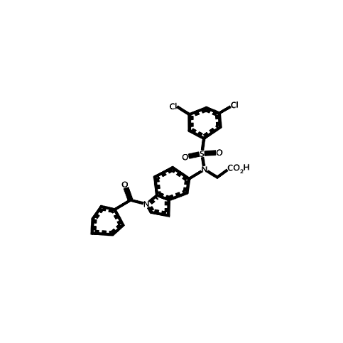 O=C(O)CN(c1ccc2c(ccn2C(=O)c2ccccc2)c1)S(=O)(=O)c1cc(Cl)cc(Cl)c1